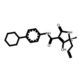 C=CC[C@@]1(C)NC(=O)C(C(=O)Nc2ccc(C3CCCCC3)cc2)=C1O